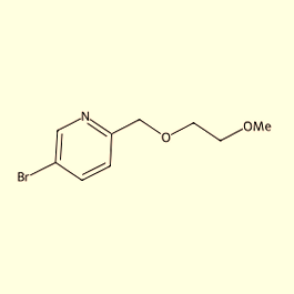 COCCOCc1ccc(Br)cn1